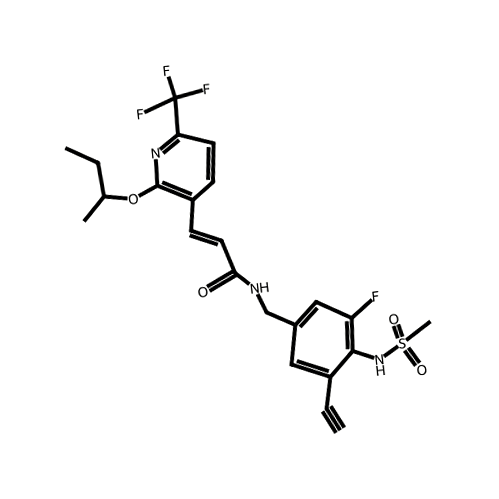 C#Cc1cc(CNC(=O)/C=C/c2ccc(C(F)(F)F)nc2OC(C)CC)cc(F)c1NS(C)(=O)=O